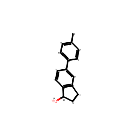 Cc1ccc(-c2ccc3c(c2)CCC3O)cc1